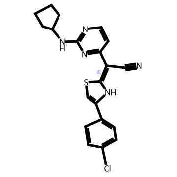 N#C/C(=C1\NC(c2ccc(Cl)cc2)=CS1)c1ccnc(NC2CCCC2)n1